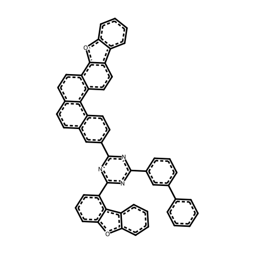 c1ccc(-c2cccc(-c3nc(-c4ccc5c(ccc6ccc7c(ccc8c9ccccc9oc87)c65)c4)nc(-c4cccc5oc6ccccc6c45)n3)c2)cc1